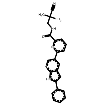 CC(C)(C#N)CNC(=O)c1cccc(-c2cnc3[nH]c(-c4ccccc4)cc3c2)n1